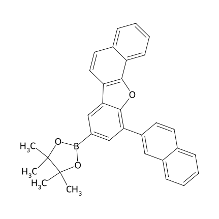 CC1(C)OB(c2cc(-c3ccc4ccccc4c3)c3oc4c5ccccc5ccc4c3c2)OC1(C)C